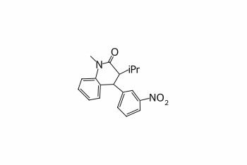 CC(C)C1C(=O)N(C)c2ccccc2C1c1cccc([N+](=O)[O-])c1